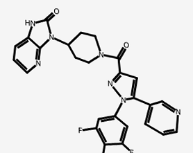 O=C(c1cc(-c2cccnc2)n(-c2cc(F)c(F)c(F)c2)n1)N1CCC(n2c(=O)[nH]c3cccnc32)CC1